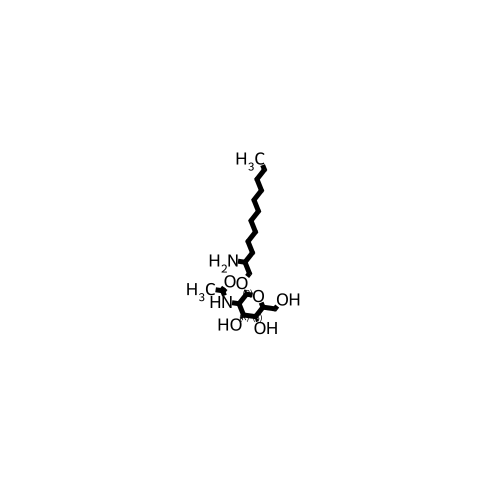 CCCCCCCCCCC(N)CO[C@@H]1OC(CO)[C@@H](O)[C@H](O)C1NC(C)=O